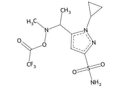 CC(c1cc(S(N)(=O)=O)nn1C1CC1)N(C)OC(=O)C(F)(F)F